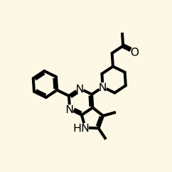 CC(=O)CC1CCCN(c2nc(-c3ccccc3)nc3[nH]c(C)c(C)c23)C1